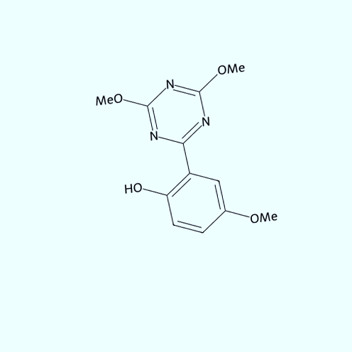 COc1ccc(O)c(-c2nc(OC)nc(OC)n2)c1